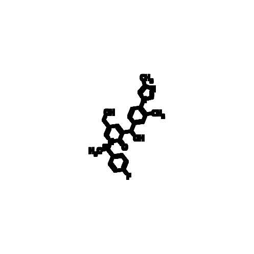 Cc1cn(-c2ccc(C(O)c3cc(CO)cn([C@@H](C)c4ccc(F)cc4)c3=O)cc2C)cn1